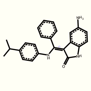 CC(C)c1ccc(N/C(=C2\C(=O)Nc3ccc(N)cc32)c2ccccc2)cc1